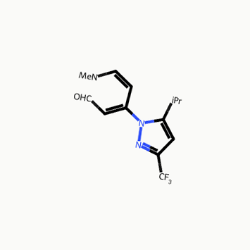 CN/C=C\C(=C/C=O)n1nc(C(F)(F)F)cc1C(C)C